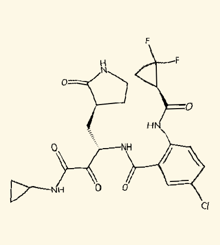 O=C(NC1CC1)C(=O)[C@H](C[C@@H]1CCNC1=O)NC(=O)c1cc(Cl)ccc1NC(=O)[C@H]1CC1(F)F